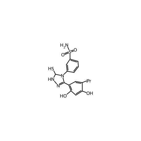 CC(C)c1cc(C2=NNC(S)N2c2cccc(S(N)(=O)=O)c2)c(O)cc1O